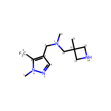 CN(Cc1cnn(C)c1C(F)(F)F)CC1(C)CNC1